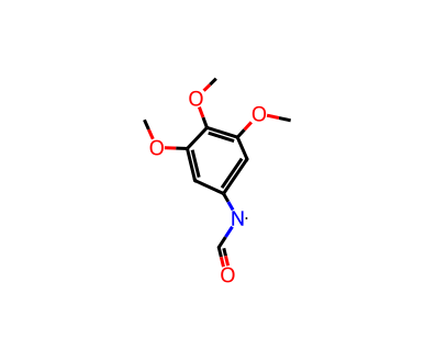 COc1cc([N]C=O)cc(OC)c1OC